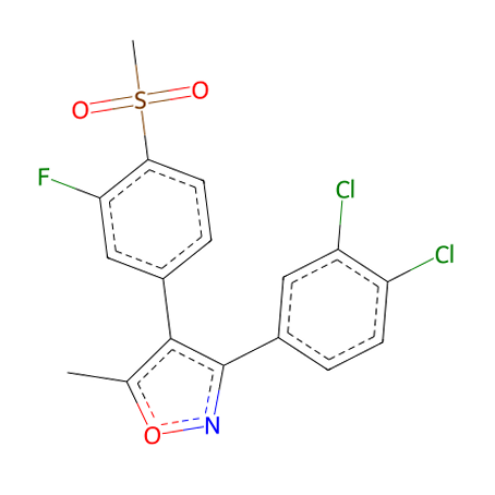 Cc1onc(-c2ccc(Cl)c(Cl)c2)c1-c1ccc(S(C)(=O)=O)c(F)c1